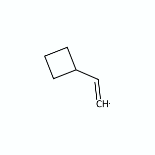 [CH]=CC1CCC1